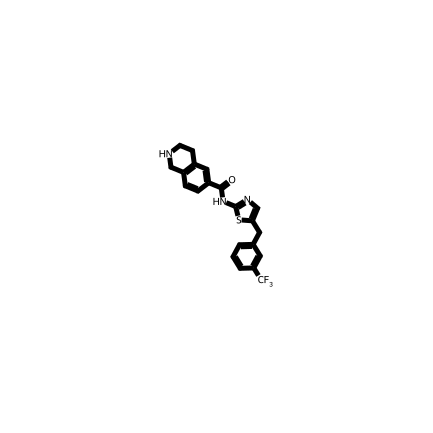 O=C(Nc1ncc(Cc2cccc(C(F)(F)F)c2)s1)c1ccc2c(c1)CCNC2